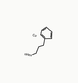 CCCCCCCCCc1cc[c]cc1.[Cu]